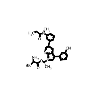 C=CC(=O)N(C)c1cccc(-c2cnc3c(c2)c(-c2cccc(C#N)c2)cn3[C@H](C)OC(=O)C(N)C(C)CC)c1